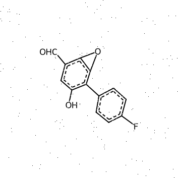 O=Cc1cc(O)c(-c2ccc(F)cc2)c2c1O2